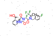 C[C@H](N(Cc1ccc(F)cc1)C(=O)CN1C(=O)N[C@]2(C[C@H](O)c3ccccc32)C1=O)C(F)(F)F